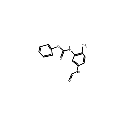 Cc1ccc(NC=O)cc1NC(=O)Oc1ccccc1